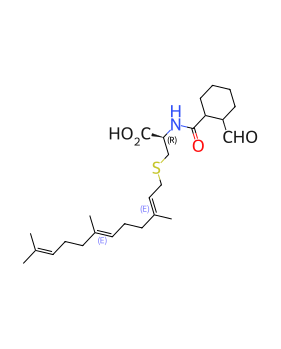 CC(C)=CCC/C(C)=C/CC/C(C)=C/CSC[C@H](NC(=O)C1CCCCC1C=O)C(=O)O